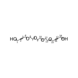 OCC#CCOCCOCCOCCOCC#CCO